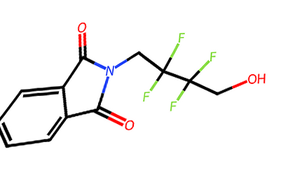 O=C1c2ccccc2C(=O)N1CC(F)(F)C(F)(F)CO